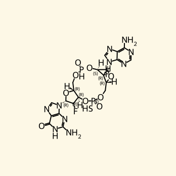 Nc1nc2c(ncn2[C@@H]2O[C@@H]3CO[PH](=O)O[C@@H]4[C@H](F)[C@@H](CO[P@@](=O)(S)O[C@H]3[C@H]2F)O[C@H]4n2cnc3c(N)ncnc32)c(=O)[nH]1